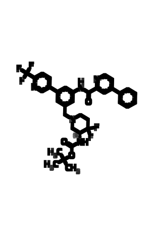 CC(C)(C)OC(=O)N[C@@H]1CN(Cc2cc(NC(=O)c3cc(-c4ccccc4)ccn3)cc(-c3ccc(C(F)(F)F)nc3)c2)CCC1(F)F